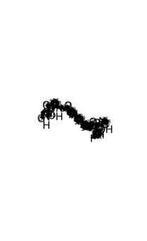 O=C1CCC(N2Cc3c(NCCC(=O)N4CCN(C5CCN(c6ccc7c(c6)C(=O)N(C(C(=O)Nc6nccs6)c6cc(F)ccc6O)C7)CC5)CC4)cccc3C2=O)C(=O)N1